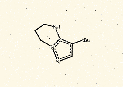 CC(C)(C)c1cnn2c1NCCC2